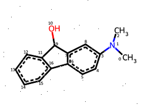 CN(C)c1ccc2c(c1)C(O)c1ccccc1-2